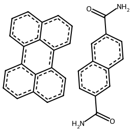 NC(=O)c1ccc2cc(C(N)=O)ccc2c1.c1cc2cccc3c4cccc5cccc(c(c1)c23)c54